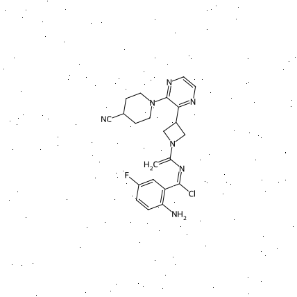 C=C(/N=C(/Cl)c1cc(F)ccc1N)N1CC(c2nccnc2N2CCC(C#N)CC2)C1